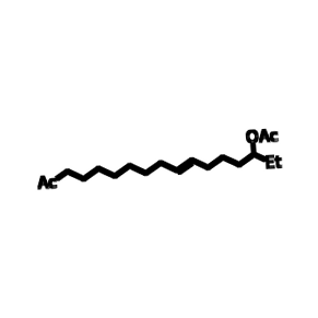 CCC(CCCC=CCCCCCCCC(C)=O)OC(C)=O